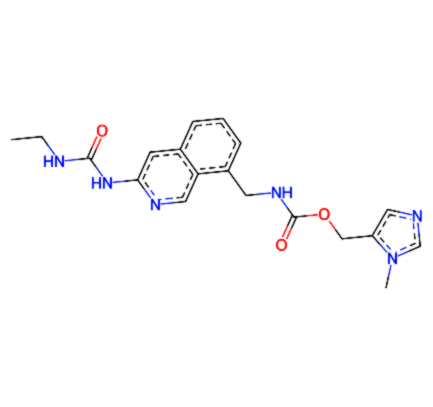 CCNC(=O)Nc1cc2cccc(CNC(=O)OCc3cncn3C)c2cn1